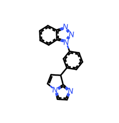 C1=Cn2ccnc2C1c1cccc(-n2nnc3ccccc32)c1